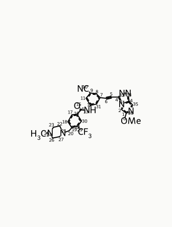 COc1cn2c(C#Cc3cc(C#N)cc(NC(=O)c4ccc(CN5CCN(C)CC5)c(C(F)(F)F)c4)c3)nnc2cn1